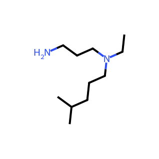 CCN(CCCN)CCCC(C)C